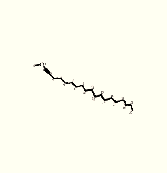 [CH2]OC#CCCCCCCCCCCCCCCCCC